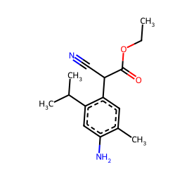 CCOC(=O)C(C#N)c1cc(C)c(N)cc1C(C)C